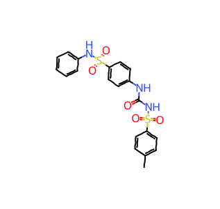 Cc1ccc(S(=O)(=O)NC(=O)Nc2ccc(S(=O)(=O)Nc3ccccc3)cc2)cc1